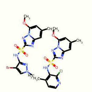 COc1cc(C)cc2nc(S(=O)(=O)Nc3c(C)ccnc3Cl)nn12.COc1cc(C)cc2nc(S(=O)(=O)Nc3nn(C)cc3Br)nn12